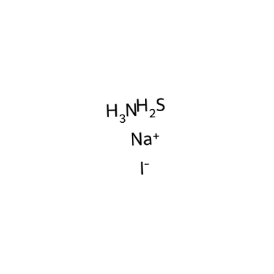 N.S.[I-].[Na+]